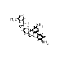 CC1CCCC(NC(=O)[C@H]2CC[C@@H](C)N(c3cc(-c4ccc(N)c(F)c4)nc(N)n3)C2)C1